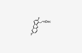 CCCCCCCCCCCCc1c(F)ccc2cc3cc(F)ccc3cc12